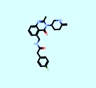 C=C1CCC(n2c(C)nc3cccc(CNC(=O)Cc4ccc(F)cc4)c3c2=O)CN1